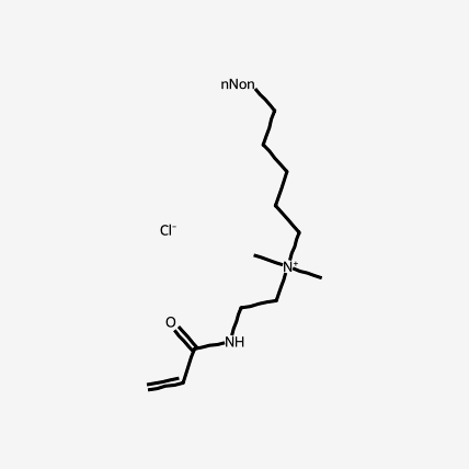 C=CC(=O)NCC[N+](C)(C)CCCCCCCCCCCCCC.[Cl-]